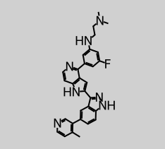 Cc1ccncc1-c1ccc2[nH]nc(-c3cc4c(-c5cc(F)cc(NCCN(C)C)c5)nccc4[nH]3)c2c1